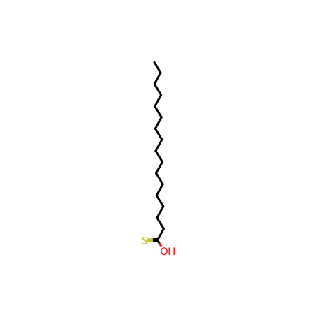 CCCCCCCCCCCCCCCCC(O)=S